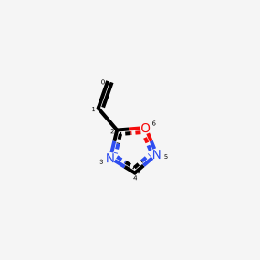 C=Cc1n[c]no1